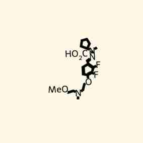 COCCN(C)CCOc1ccc(/C=N/N(C)C2(C(=O)O)CCCC2)c(F)c1F